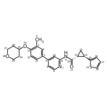 Cc1cc(-c2ccnc(NC(=O)[C@@H]3C[C@H]3c3cccs3)c2)ccc1OC1CCOCC1